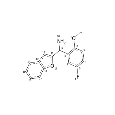 COc1ccc(F)cc1C(N)c1cc2ccccc2o1